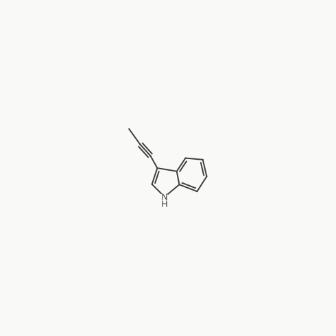 CC#Cc1c[nH]c2ccccc12